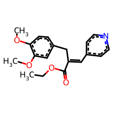 CCOC(=O)/C(=C/c1ccncc1)Cc1ccc(OC)c(OC)c1